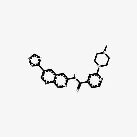 CN1CCN(c2cc(C(=O)Nc3cc4cc(-c5nncs5)cnc4cn3)ccn2)CC1